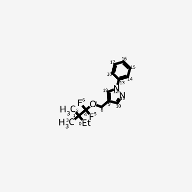 CCC(C)(C)C(F)(F)OCc1cnn(-c2ccccc2)c1